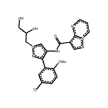 COc1ccc(Cl)cc1-c1nn(CC(O)CO)cc1NC(=O)c1cnn2cccnc12